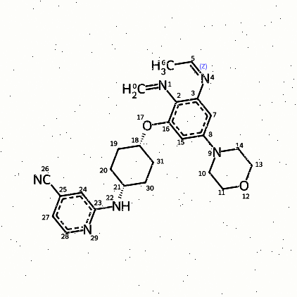 C=Nc1c(/N=C\C)cc(N2CCOCC2)cc1O[C@H]1CC[C@@H](Nc2cc(C#N)ccn2)CC1